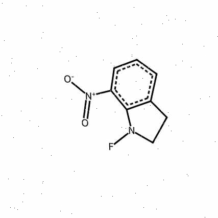 O=[N+]([O-])c1cccc2c1N(F)CC2